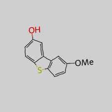 COc1ccc2sc3ccc(O)cc3c2c1